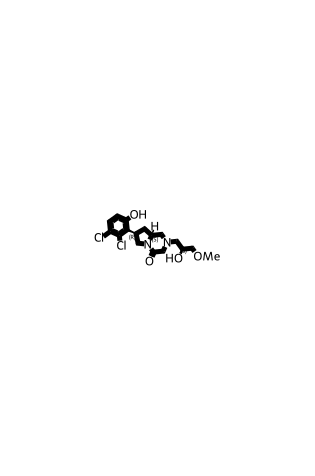 COC[C@@H](O)CN1CC(=O)N2C[C@@H](c3c(O)ccc(Cl)c3Cl)C[C@H]2C1